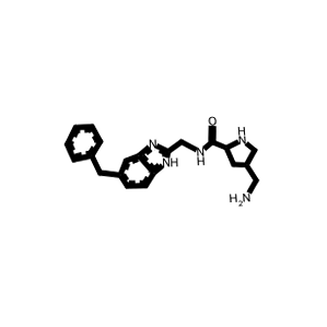 NCC1CNC(C(=O)NCc2nc3cc(Cc4ccccc4)ccc3[nH]2)C1